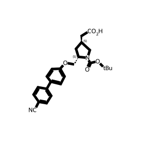 CC(C)(C)OC(=O)N1C[C@H](CC(=O)O)C[C@H]1COc1ccc(-c2ccc(C#N)cc2)cc1